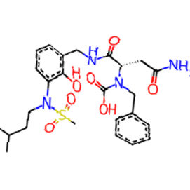 CC(C)CCN(c1cccc(CNC(=O)[C@H](CC(N)=O)N(Cc2ccccc2)C(=O)O)c1O)S(C)(=O)=O